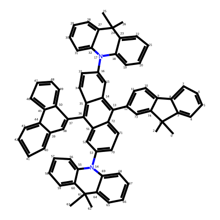 CC1(C)c2ccccc2-c2ccc(-c3c4cc(N5c6ccccc6C(C)(C)c6ccccc65)ccc4c(-c4cc5ccccc5c5ccccc45)c4cc(N5c6ccccc6C(C)(C)c6ccccc65)ccc34)cc21